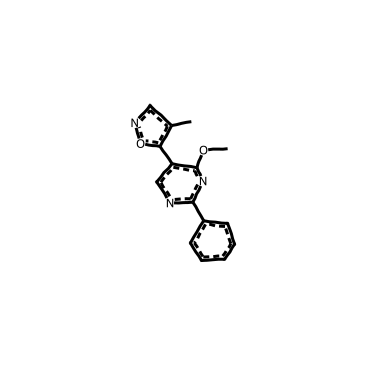 COc1nc(-c2ccccc2)ncc1-c1oncc1C